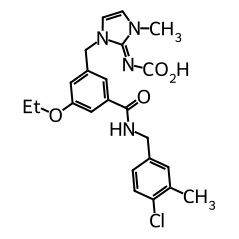 CCOc1cc(Cn2ccn(C)c2=NC(=O)O)cc(C(=O)NCc2ccc(Cl)c(C)c2)c1